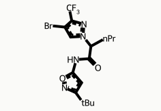 CCCC(C(=O)Nc1cc(C(C)(C)C)no1)n1cc(Br)c(C(F)(F)F)n1